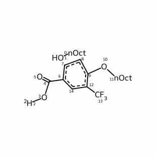 CCCCCCCCO.[2H]OC(=O)c1ccc(OCCCCCCCC)c(C(F)(F)F)c1